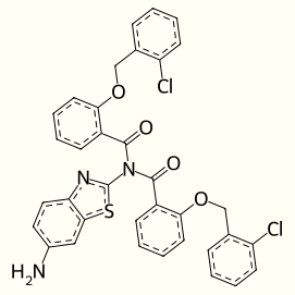 Nc1ccc2nc(N(C(=O)c3ccccc3OCc3ccccc3Cl)C(=O)c3ccccc3OCc3ccccc3Cl)sc2c1